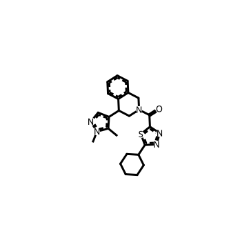 Cc1c(C2CN(C(=O)c3nnc(C4CCCCC4)s3)Cc3ccccc32)cnn1C